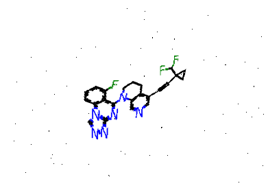 Fc1cccc2c1c(N1CCCc3c(C#CC4(C(F)F)CC4)cncc31)nc1nncn12